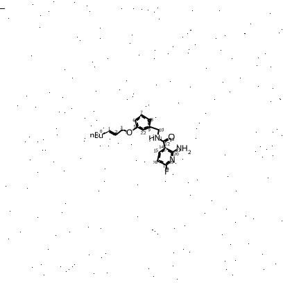 CCCC/C=C/COc1cccc(CNC(=O)c2ccc(F)nc2N)c1